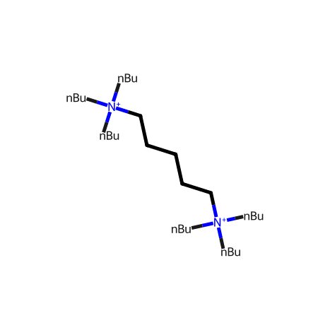 CCCC[N+](CCCC)(CCCC)CCCCC[N+](CCCC)(CCCC)CCCC